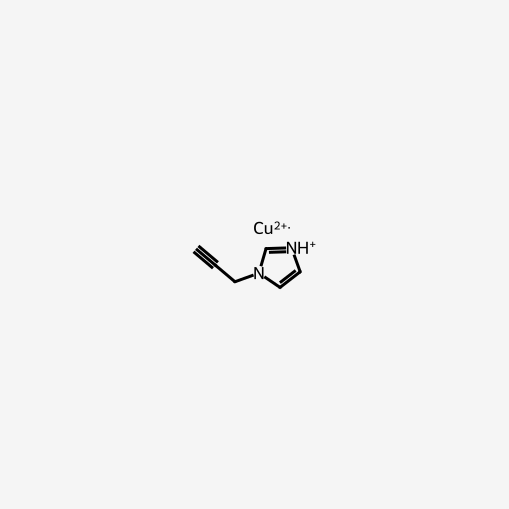 C#CCn1cc[nH+]c1.[Cu+2]